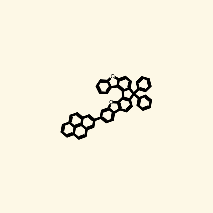 c1ccc(C2(c3ccccc3)c3ccc4c(oc5cc(-c6cc7ccc8cccc9ccc(c6)c7c89)ccc54)c3-c3c2ccc2oc4ccccc4c32)cc1